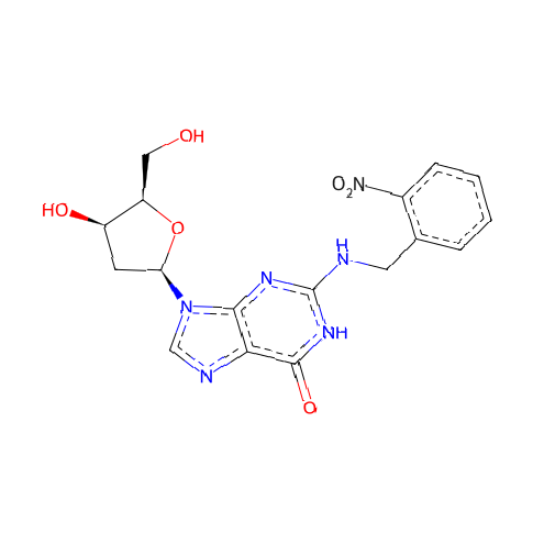 O=c1[nH]c(NCc2ccccc2[N+](=O)[O-])nc2c1ncn2[C@H]1C[C@@H](O)[C@@H](CO)O1